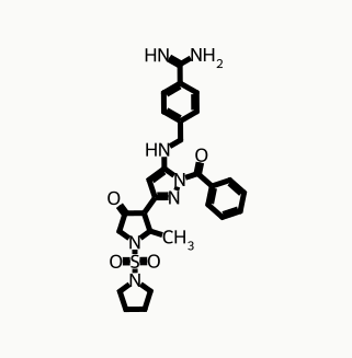 CC1C(c2cc(NCc3ccc(C(=N)N)cc3)n(C(=O)c3ccccc3)n2)C(=O)CN1S(=O)(=O)N1CCCC1